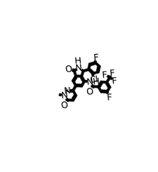 Cn1nc(-c2cc(NC(=O)c3cc(F)cc(C(F)(F)F)c3)c3c(c2)C(=O)NC3c2cc(F)ccc2Cl)ccc1=O